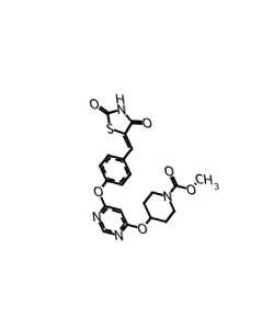 COC(=O)N1CCC(Oc2cc(Oc3ccc(/C=C4\SC(=O)NC4=O)cc3)ncn2)CC1